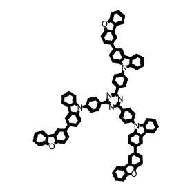 c1ccc2c(c1)oc1ccc(-c3ccc4c(c3)c3ccccc3n4-c3ccc(-c4nc(-c5ccc(-n6c7ccccc7c7cc(-c8ccc9oc%10ccccc%10c9c8)ccc76)cc5)nc(-c5ccc(-n6c7ccccc7c7cc(-c8ccc9oc%10ccccc%10c9c8)ccc76)cc5)n4)cc3)cc12